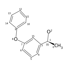 C[C@H]([O])c1cccc(Oc2ccccc2)c1